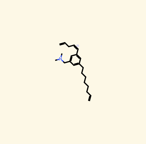 C=CC/C=C\c1cc(CCCCCCC=C)cc(CN(C)C)c1